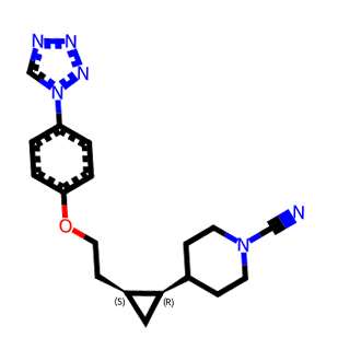 N#CN1CCC([C@H]2C[C@H]2CCOc2ccc(-n3cnnn3)cc2)CC1